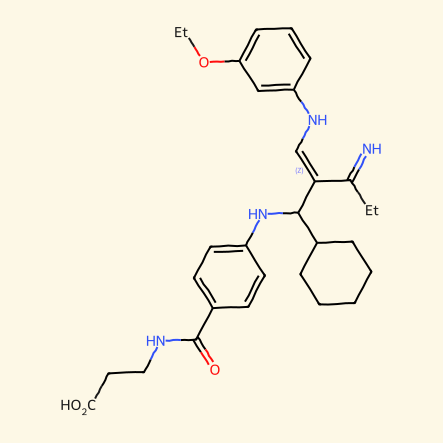 CCOc1cccc(N/C=C(\C(=N)CC)C(Nc2ccc(C(=O)NCCC(=O)O)cc2)C2CCCCC2)c1